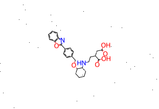 O=C(O)CC(CCNC1CCCCC1OCc1ccc(-c2nc3ccccc3o2)cc1)C(=O)O